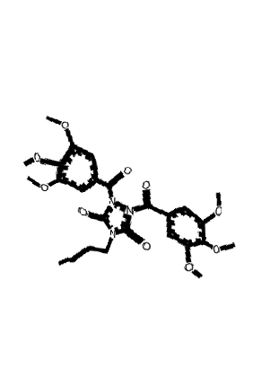 CCCCn1c(=O)n(C(=O)c2cc(OC)c(OC)c(OC)c2)n(C(=O)c2cc(OC)c(OC)c(OC)c2)c1=O